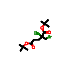 CC(C)(C)OC(=O)CCC(Br)(CBr)C(=O)OC(C)(C)C